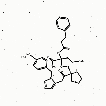 COC(=O)[C@](CCSC)(NC(=O)CCc1ccccc1)OC[C@]1(C(=O)Cc2cncn2Cc2ccc(C#N)cc2)CCCN1.Cl